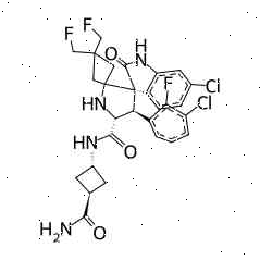 NC(=O)[C@H]1C[C@H](NC(=O)[C@@H]2NC3(CC(CF)(CF)C3)[C@@]3(C(=O)Nc4cc(Cl)ccc43)[C@H]2c2cccc(Cl)c2F)C1